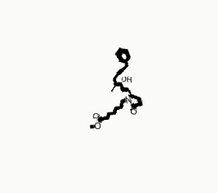 COC(=O)CCCCCCN1C(=O)CC[C@@H]1/C=C/[C@@H](O)[C@@H](C)CC#CCc1ccccc1